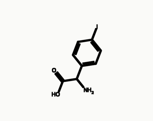 NC(C(=O)O)c1ccc(I)cc1